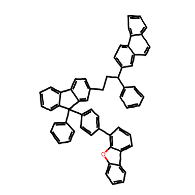 c1ccc(C(CCc2ccc3c(c2)C(c2ccccc2)(c2ccc(-c4cccc5c4oc4ccccc45)cc2)c2ccccc2-3)c2ccc3c(ccc4ccccc43)c2)cc1